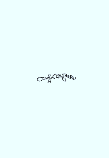 CC(C)(C)OC(=O)n1cc2ccc(NC(=O)n3cc4ccccc4c3)cc2c1